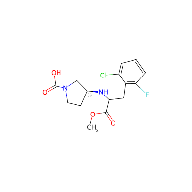 COC(=O)C(Cc1c(F)cccc1Cl)N[C@H]1CCN(C(=O)O)C1